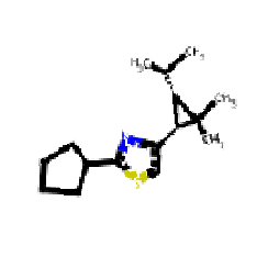 CC(C)[C@H]1[C@H](c2csc(C3CCCC3)n2)C1(C)C